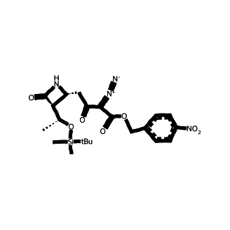 C[C@@H](O[Si](C)(C)C(C)(C)C)[C@H]1C(=O)N[C@@H]1CC(=O)C(=[N+]=[N-])C(=O)OCc1ccc([N+](=O)[O-])cc1